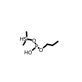 CCCOP(O)O[SiH](C)C